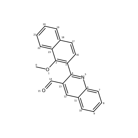 COc1c(-c2nc3ccccc3cc2C=O)ccc2ccccc12